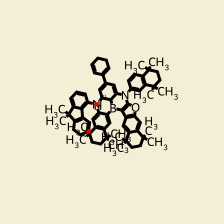 CC1(C)CCC(C)(C)c2cc(N3C4=CC(C5=CCCC=C5)=C[C@@H]5C4B(c4cc6c(cc4N5c4cccc5c4C4=C(CCC=C4)C5(C)C)C(C)(C)CCC6(C)C)c4c3oc3cc5c(cc43)C(C)(C)CCC5(C)C)ccc21